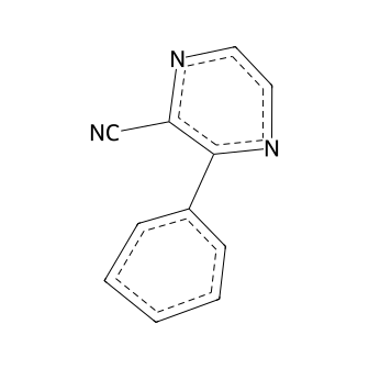 N#Cc1nccnc1-c1ccccc1